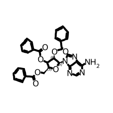 Nc1ncnc2c1ncn2[C@H]1O[C@@H](COC(=O)c2ccccc2)C(OC(=O)c2ccccc2)[C@@H]1OC(=O)c1ccccc1